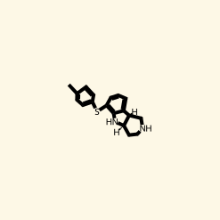 Cc1ccc(Sc2cccc3c2N[C@@H]2CCNC[C@H]32)cc1